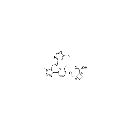 CCc1cc(OCc2c(-c3ccc(OC[C@H]4CC[C@@H]4C(=O)O)c(C)n3)nnn2C)ncn1